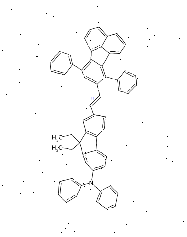 CCC1(CC)c2cc(/C=C/c3cc(-c4ccccc4)c4c(c3-c3ccccc3)-c3cccc5cccc-4c35)ccc2-c2ccc(N(c3ccccc3)c3ccccc3)cc21